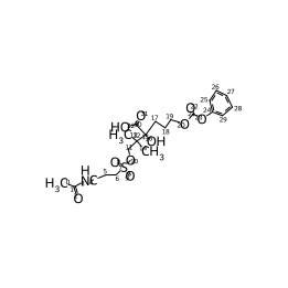 CC(=O)NCCCS(=O)(=O)OCC(C)(C)[C@](O)(CCCOC(=O)Oc1ccccc1)C(=O)O